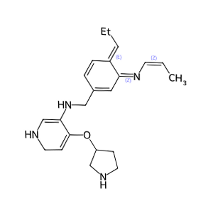 C\C=C/N=C1/C=C(CNC2=CNCC=C2OC2CCNC2)C=C/C1=C\CC